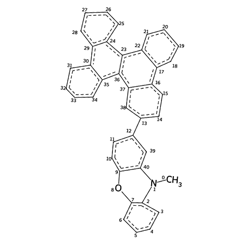 CN1c2ccccc2Oc2ccc(-c3ccc4c5ccccc5c5c6ccccc6c6ccccc6c5c4c3)cc21